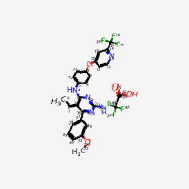 CCc1c(Nc2ccc(Oc3ccnc(C(F)(F)F)c3)cc2)nc(N)nc1-c1cccc(OC)c1.O=C(O)C(F)(F)F